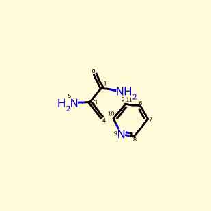 C=C(N)C(=C)N.c1ccncc1